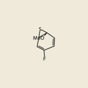 COC12C=CC(F)=CC1S2